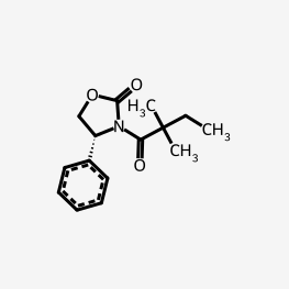 CCC(C)(C)C(=O)N1C(=O)OC[C@H]1c1ccccc1